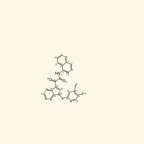 O=C(Nc1nccc2ccccc12)C(=O)c1cn(Cc2ccc(F)c(F)c2)c2ccccc12